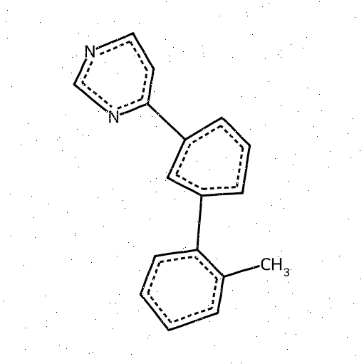 Cc1ccccc1-c1cccc(-c2ccncn2)c1